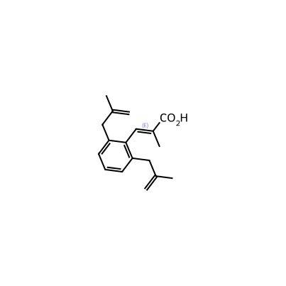 C=C(C)Cc1cccc(CC(=C)C)c1/C=C(\C)C(=O)O